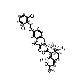 CC1=C(C(=O)N[C@@H](Cc2ccc(OCc3c(Cl)cccc3Cl)cc2)C(=O)O)C(C)(C)CCC1=CC(=O)O